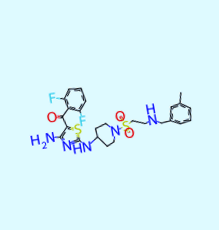 Cc1cccc(CNCCS(=O)(=O)N2CCC(Nc3nc(N)c(C(=O)c4c(F)cccc4F)s3)CC2)c1